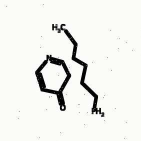 CCCCCCP.O=C1C=CN=CC1